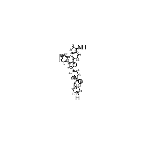 N=C1CCc2cc(-c3oc(C4CCN(C(=O)CN5CCNCC5)CC4)cc3-c3ccncc3)ccc21